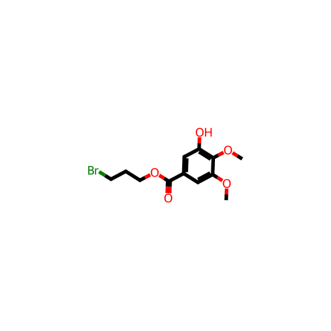 COc1cc(C(=O)OCCCBr)cc(O)c1OC